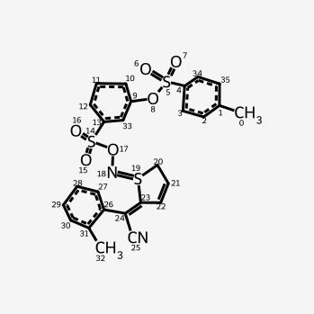 Cc1ccc(S(=O)(=O)Oc2cccc(S(=O)(=O)ON=S3CC=CC3=C(C#N)c3ccccc3C)c2)cc1